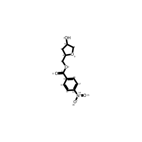 O=C(OCC1CC(O)CO1)c1ccc([N+](=O)[O-])cc1